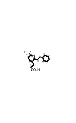 O=C(O)/C=C/c1ccc(C(F)(F)F)nc1CCc1ccccc1